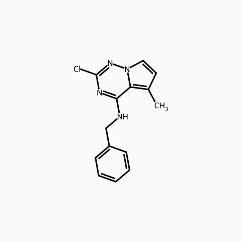 Cc1ccn2nc(Cl)nc(NCc3ccccc3)c12